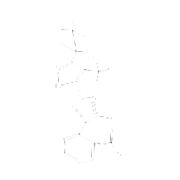 Cc1nn(-c2[nH]nc(C(F)(F)C(F)(F)F)c2C(F)(F)F)cc1-c1ccccc1C(N)=O